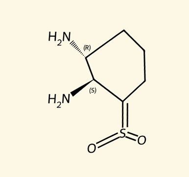 N[C@@H]1CCCC(=S(=O)=O)[C@H]1N